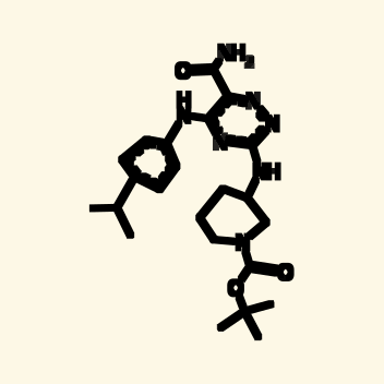 CC(C)c1ccc(Nc2nc(NC3CCCN(C(=O)OC(C)(C)C)C3)nnc2C(N)=O)cc1